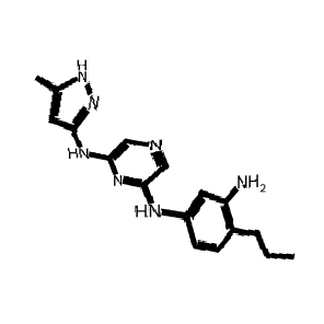 CCCc1ccc(Nc2cncc(Nc3cc(C)[nH]n3)n2)cc1N